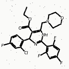 CCOC(=O)C1=C(CN2CCOCC2)NC(c2c(F)cc(F)cc2F)=NC1c1ccc(F)cc1Cl